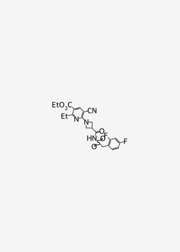 CCOC(=O)c1cc(C#N)c(N2CC(C(=O)NS(=O)(=O)Cc3ccc(F)cc3F)C2)nc1CC